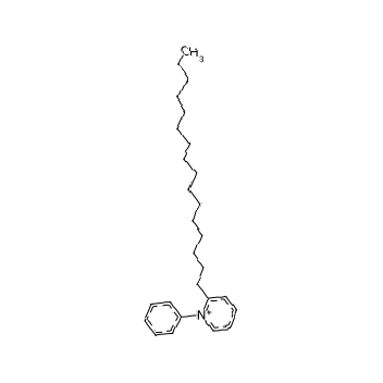 CCCCCCCCCCCCCCCCc1cccc[n+]1-c1ccccc1